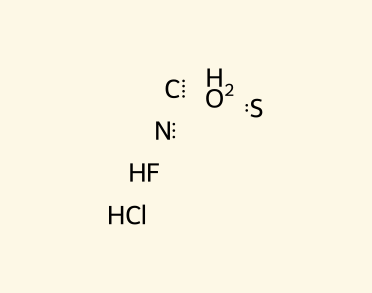 Cl.F.O.[C].[N].[S]